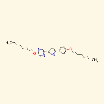 CCCCCCCCOc1ccc(-c2ccc(-c3cnc(OCCCCCCCC)cn3)cn2)cc1